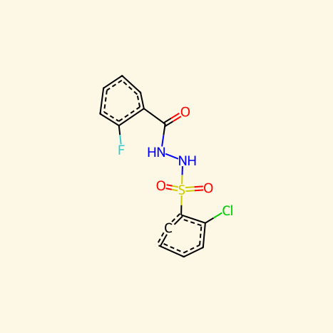 O=C(NNS(=O)(=O)c1ccccc1Cl)c1ccccc1F